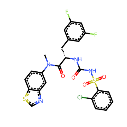 CN(C(=O)[C@H](Cc1cc(F)cc(F)c1)NC(=O)NS(=O)(=O)c1ccccc1Cl)c1ccc2scnc2c1